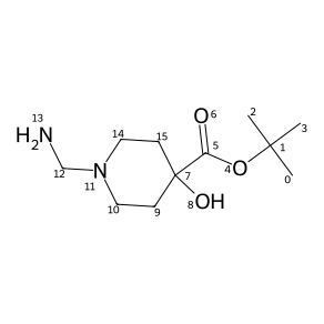 CC(C)(C)OC(=O)C1(O)CCN(CN)CC1